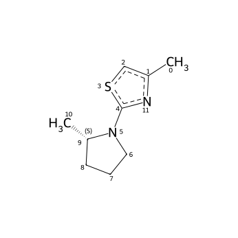 Cc1csc(N2CCC[C@@H]2C)n1